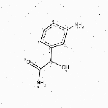 NC(=O)C(O)c1cccc(N)c1